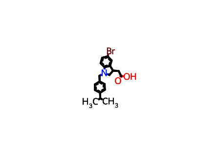 CC(C)c1ccc(CN2CC(CC(=O)O)c3cc(Br)ccc32)cc1